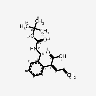 C=CC=C(C(=O)O)c1ccccc1CNC(=O)OC(C)(C)C